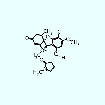 CN1CCCC1=O.COC1=CC(=O)C[C@@H](C)[C@]12Oc1c(Cl)c(OC)cc(OC)c1C2=O